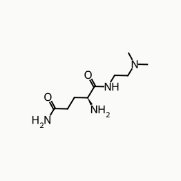 CN(C)CCNC(=O)[C@@H](N)CCC(N)=O